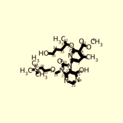 COC(=O)c1c(C)cc(-n2c(=O)n(COCC[Si](C)(C)C)c3ncnc(O)c32)nc1OC(C)CCCO